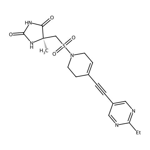 CCc1ncc(C#CC2=CCN(S(=O)(=O)C[C@@]3(C)NC(=O)NC3=O)CC2)cn1